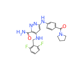 NC(=O)c1nnc(Nc2ccc(C(=O)N3CCCC3)cc2)cc1NCc1c(F)cccc1F